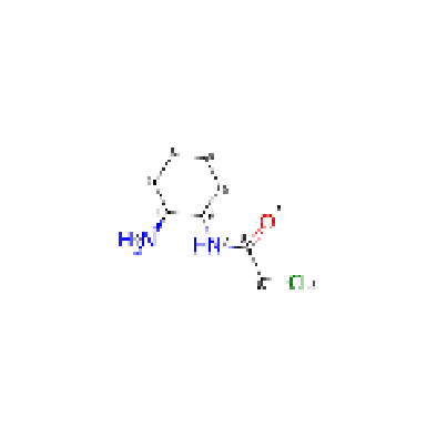 N[C@H]1CCCC[C@@H]1NC(=O)CCl